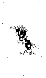 COC(=O)[C@]1(C)Nc2c(O)cc3c(c2C1=O)C[C@H](C)CN3C(=O)c1cc2c(OC)c(OC)c(OC)cc2[nH]1